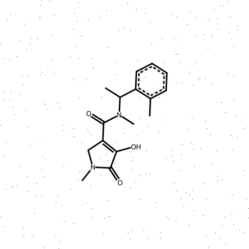 Cc1ccccc1C(C)N(C)C(=O)C1=C(O)C(=O)N(C)C1